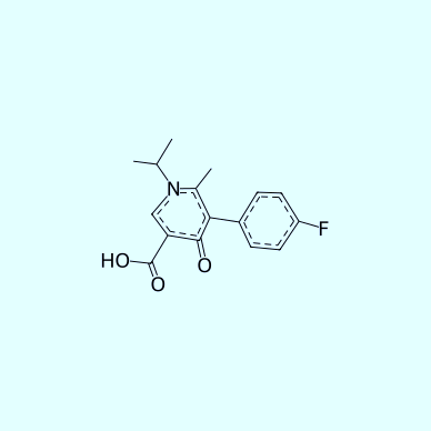 Cc1c(-c2ccc(F)cc2)c(=O)c(C(=O)O)cn1C(C)C